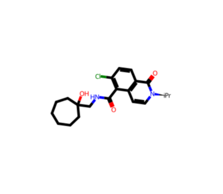 [CH2][C@H](C)n1ccc2c(C(=O)NCC3(O)CCCCCC3)c(Cl)ccc2c1=O